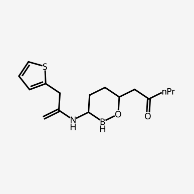 C=C(Cc1cccs1)NC1BOC(CC(=O)CCC)CC1